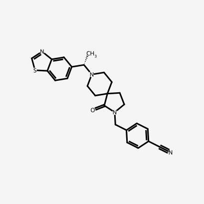 C[C@@H](c1ccc2scnc2c1)N1CCC2(CCN(Cc3ccc(C#N)cc3)C2=O)CC1